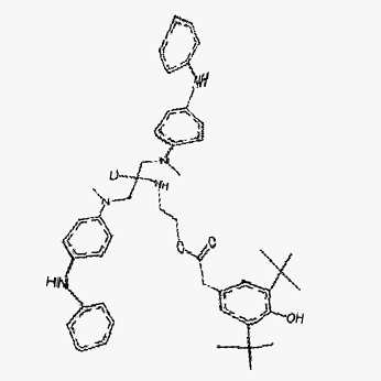 CN(C[C]([U])(CN(C)c1ccc(Nc2ccccc2)cc1)NCCOC(=O)Cc1cc(C(C)(C)C)c(O)c(C(C)(C)C)c1)c1ccc(Nc2ccccc2)cc1